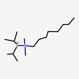 CCCCCCCC[N+](C)(C)[SiH](C(C)C)C(C)C